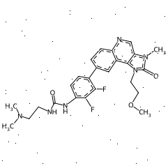 COCCn1c(=O)n(C)c2cnc3ccc(-c4ccc(NC(=O)NCCN(C)C)c(F)c4F)cc3c21